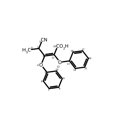 CC(C#N)C(Oc1ccccc1)=C(Oc1ccccc1)C(=O)O